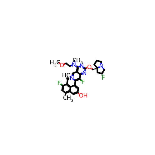 C#Cc1c(F)cc(C)c2cc(O)cc(-c3ncc4c(N(C)CCOC)nc(OC[C@@]56CCCN5C[C@H](F)C6)nc4c3F)c12